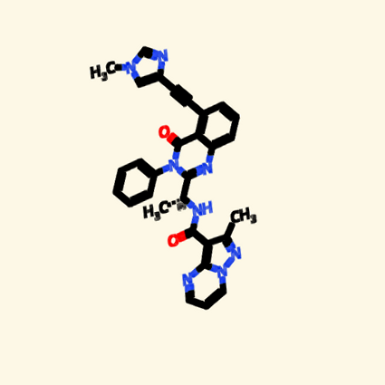 Cc1nn2cccnc2c1C(=O)N[C@H](C)c1nc2cccc(C#Cc3cn(C)cn3)c2c(=O)n1-c1ccccc1